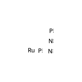 [N].[N].[P].[P].[Ru]